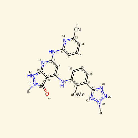 COc1c(Nc2cc(Nc3cccc(C#N)n3)nc3[nH]n(C)c(=O)c23)cccc1-c1nnn(C)n1